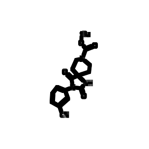 CC(C)(C)OC(=O)N1CCC2(CC1)NC(=O)N(c1cccc(C#N)c1)C2=O